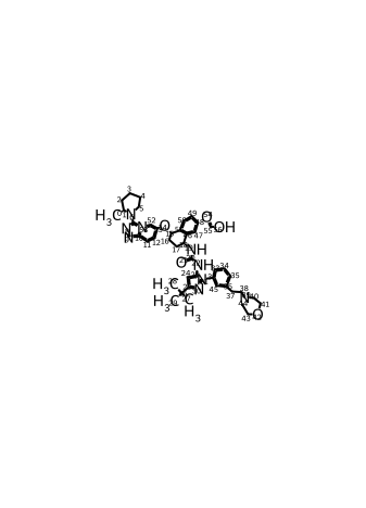 C[C@H]1CCCCN1c1nnc2ccc(O[C@@H]3CC[C@H](NC(=O)Nc4cc(C(C)(C)C)nn4-c4cccc(CCN5CCOCC5)c4)c4ccccc43)cn12.O=CO